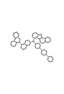 c1ccc(-c2ccc(-c3ccc(N(c4ccc5c(-c6cc7ccccc7c7ccccc67)cccc5c4)c4cccc5oc6c7ccccc7ccc6c45)cc3)cc2)cc1